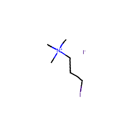 C[N+](C)(C)CCCI.[I-]